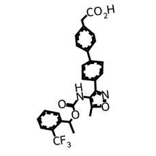 Cc1onc(-c2ccc(-c3ccc(CC(=O)O)cc3)cc2)c1NC(=O)OC(C)c1ccccc1C(F)(F)F